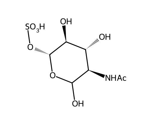 CC(=O)N[C@H]1C(O)O[C@H](OS(=O)(=O)O)[C@@H](O)[C@@H]1O